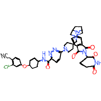 N#Cc1ccc(OC2CCC(NC(=O)c3ccc(N4CCC(CN5CC6CCC(C5)N6c5ccc6c(c5)C(=O)N(C5CCC(=O)NC5=O)C6=O)CC4)nn3)CC2)cc1Cl